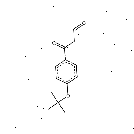 CC(C)(C)Oc1ccc(C(=O)CC=O)cc1